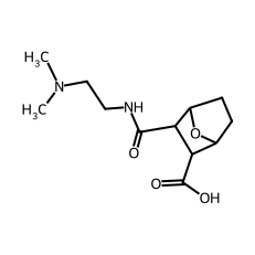 CN(C)CCNC(=O)C1C2CCC(O2)C1C(=O)O